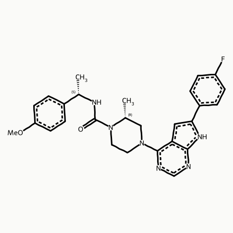 COc1ccc([C@H](C)NC(=O)N2CCN(c3ncnc4[nH]c(-c5ccc(F)cc5)cc34)C[C@H]2C)cc1